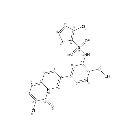 COc1ncc(-c2ccc3ncc(Cl)c(=O)n3c2)cc1NS(=O)(=O)c1sccc1Cl